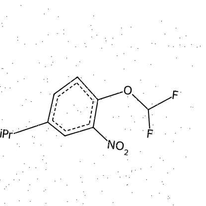 [CH2]C(C)c1ccc(OC(F)F)c([N+](=O)[O-])c1